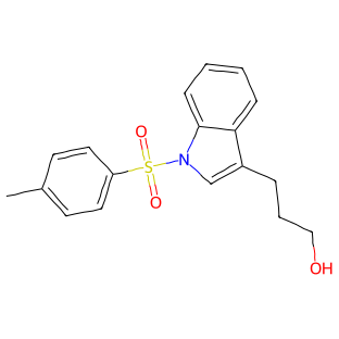 Cc1ccc(S(=O)(=O)n2cc(CCCO)c3ccccc32)cc1